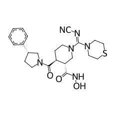 N#CN=C(N1CCSCC1)N1CC[C@H](C(=O)N2CC[C@H](c3ccccc3)C2)[C@@H](C(=O)NO)C1